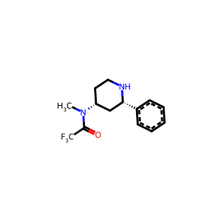 CN(C(=O)C(F)(F)F)[C@@H]1CCN[C@H](c2ccccc2)C1